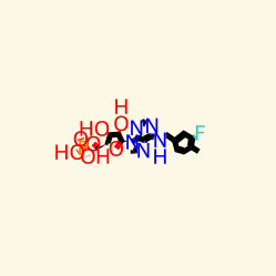 Cc1ccc(CNc2ncnc3c2ncn3[C@@H]2O[C@H](COP(=O)(O)O)[C@@H](O)[C@H]2O)cc1F